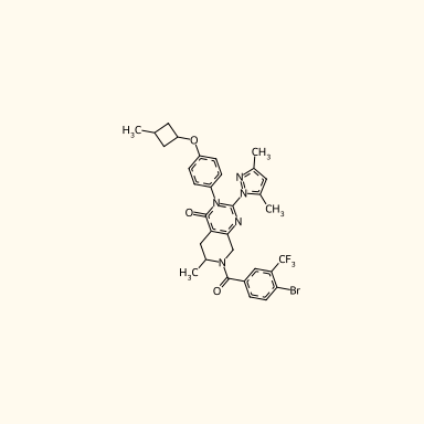 Cc1cc(C)n(-c2nc3c(c(=O)n2-c2ccc(OC4CC(C)C4)cc2)CC(C)N(C(=O)c2ccc(Br)c(C(F)(F)F)c2)C3)n1